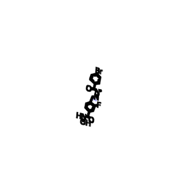 CN(/N=C/c1ccc(C(=O)NO)cc1F)C(=O)c1ccc(Br)cc1